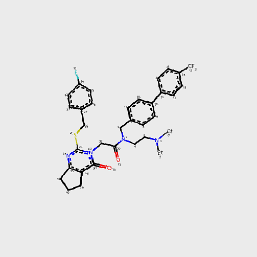 CCN(CC)CCN(Cc1ccc(-c2ccc(C(F)(F)F)cc2)cc1)C(=O)Cn1c(SCc2ccc(F)cc2)nc2c(c1=O)CCC2